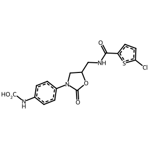 O=C(O)Nc1ccc(N2CC(CNC(=O)c3ccc(Cl)s3)OC2=O)cc1